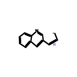 [CH2]/C=C\c1cnc2ccccc2c1